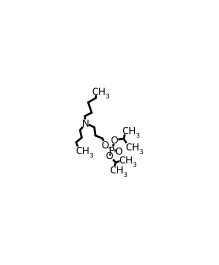 CCCCCN(CCCC)CCCOP(=O)(OC(C)C)OC(C)C